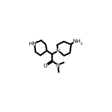 CN(C)C(=O)C(C1CCNCC1)N1CCC(N)CC1